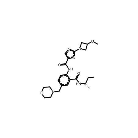 CC[C@H](C)NC(=O)c1cc(CN2CCOCC2)ccc1NC(=O)c1csc(N2CC(OC)C2)n1